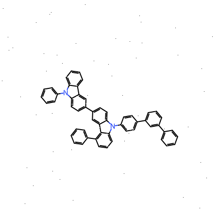 c1ccc(-c2cccc(-c3ccc(-n4c5ccc(-c6ccc7c(c6)c6ccccc6n7-c6ccccc6)cc5c5c(-c6ccccc6)cccc54)cc3)c2)cc1